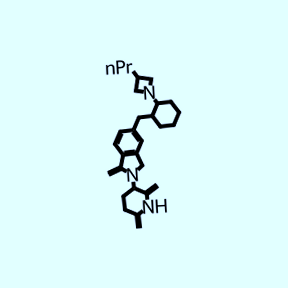 C=C1CCC(N2Cc3cc(CC4CCCCC4N4CC(CCC)C4)ccc3C2=C)C(=C)N1